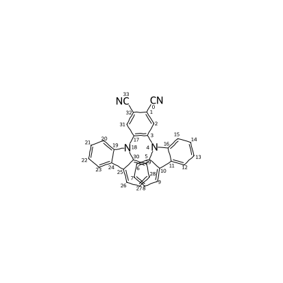 N#Cc1cc(-n2c3ccccc3c3ccccc32)c(-n2c3ccccc3c3ccccc32)cc1C#N